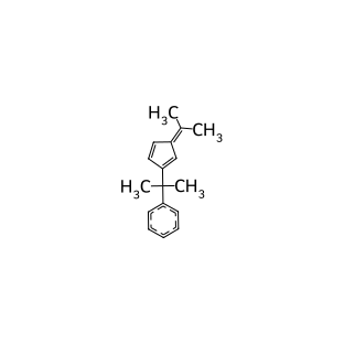 CC(C)=C1C=CC(C(C)(C)c2ccccc2)=C1